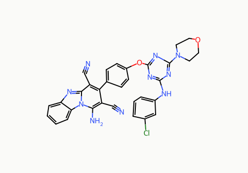 N#Cc1c(-c2ccc(Oc3nc(Nc4cccc(Cl)c4)nc(N4CCOCC4)n3)cc2)c(C#N)c2nc3ccccc3n2c1N